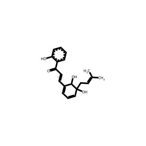 CC(C)=CCC1(O)C=CC=C(/C=C/C(=O)c2ccccc2O)C1O